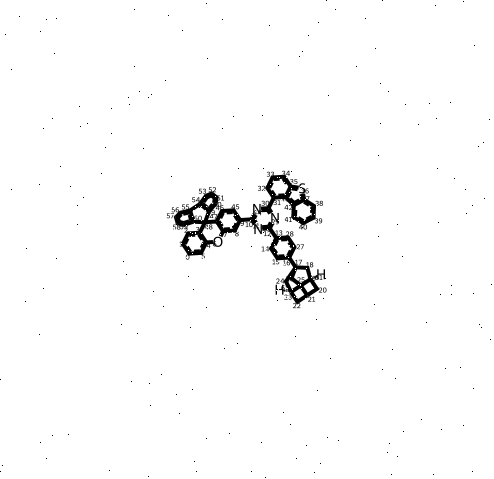 c1ccc2c(c1)Oc1cc(-c3nc(-c4ccc(C56C[C@H]7CC8C[C@@H](C5)C87C6)cc4)nc(-c4cccc5sc6ccccc6c45)n3)ccc1C21c2ccccc2-c2ccccc21